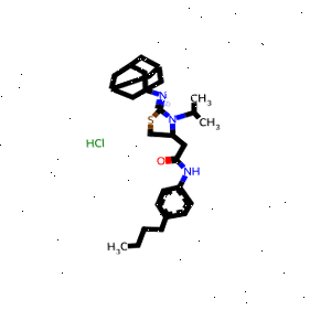 CCCCc1ccc(NC(=O)CC2CS/C(=N\C34CC5CC(CC(C5)C3)C4)N2C(C)C)cc1.Cl